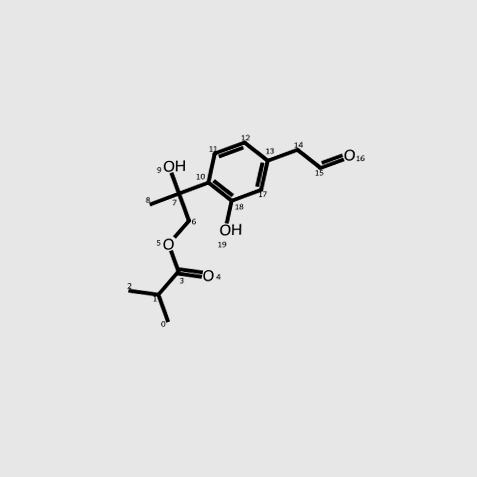 CC(C)C(=O)OCC(C)(O)c1ccc(CC=O)cc1O